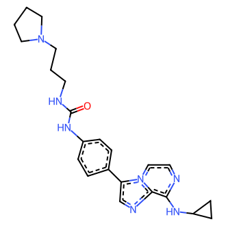 O=C(NCCCN1CCCC1)Nc1ccc(-c2cnc3c(NC4CC4)nccn23)cc1